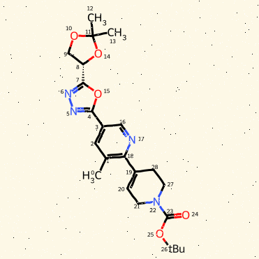 Cc1cc(-c2nnc([C@@H]3COC(C)(C)O3)o2)cnc1C1=CCN(C(=O)OC(C)(C)C)CC1